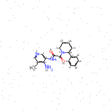 Cc1cncc(NC(=O)C(=O)N2CCCCC2c2ccccc2)c1N